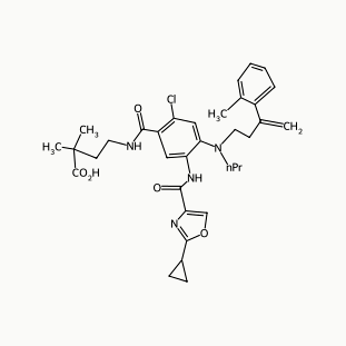 C=C(CCN(CCC)c1cc(Cl)c(C(=O)NCCC(C)(C)C(=O)O)cc1NC(=O)c1coc(C2CC2)n1)c1ccccc1C